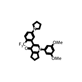 COc1cc(OC)cc(-n2cc(-c3cc(N4CCCC4)ccc3C(F)(F)F)c(=O)c3c2CCC3)c1